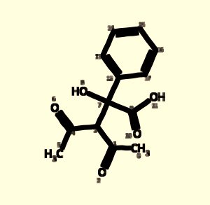 CC(=O)C(C(C)=O)C(O)(C(=O)O)c1ccccc1